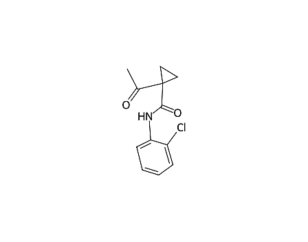 CC(=O)C1(C(=O)Nc2ccccc2Cl)CC1